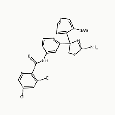 COc1ccccc1C1(c2cccc(NC(=O)c3ncc(Cl)cc3Cl)c2)CSC(N)=N1